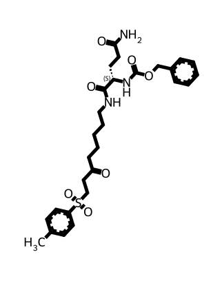 Cc1ccc(S(=O)(=O)CCC(=O)CCCCCNC(=O)[C@H](CCC(N)=O)NC(=O)OCc2ccccc2)cc1